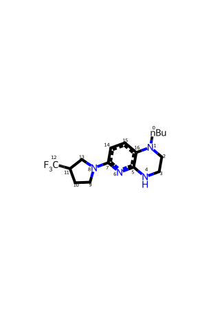 CCCCN1CCNc2nc(N3CCC(C(F)(F)F)C3)ccc21